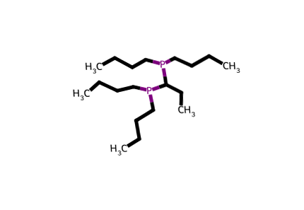 CCCCP(CCCC)C(CC)P(CCCC)CCCC